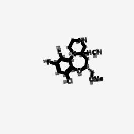 COC[C@H]1C[C@@H]2CNCCN2c2c(F)c(F)cc(Cl)c2O1.Cl